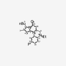 CCCCc1c(C)sc2nc(CN(CC)c3ccc(F)cc3)cc(=O)n12